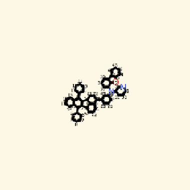 c1ccc(-c2c3c(c(-c4ccccc4)c4ccccc24)-c2ccc(-c4cccc(N(c5cccnc5)c5cccc6c5oc5ccccc56)c4)c4cccc-3c24)cc1